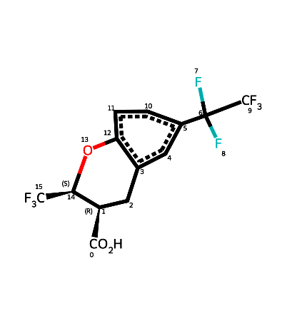 O=C(O)[C@@H]1Cc2cc(C(F)(F)C(F)(F)F)ccc2O[C@@H]1C(F)(F)F